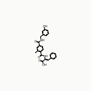 Cc1cc(C(=O)NCc2cccc(O)c2)ccc1C(=O)N/C(=C\c1ccccc1)C(=O)O